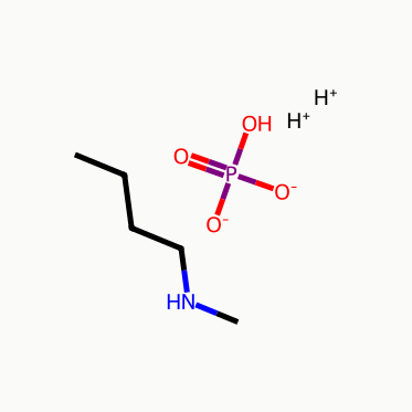 CCCCNC.O=P([O-])([O-])O.[H+].[H+]